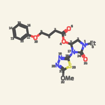 CCN1CC(OC(=O)CCCOc2ccccc2)N(c2nnc(OC)s2)C1=O